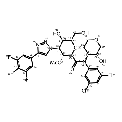 CO[C@@H]1[C@@H](n2cc(-c3cc(F)c(F)c(F)c3)nn2)[C@@H](O)[C@@H](CO)O[C@H]1C(=O)N(c1cc(Cl)cc(Cl)c1)[C@H]1CCOC[C@@H]1O